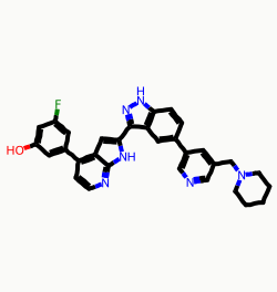 Oc1cc(F)cc(-c2ccnc3[nH]c(-c4n[nH]c5ccc(-c6cncc(CN7CCCCC7)c6)cc45)cc23)c1